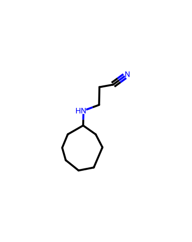 N#CCCNC1CCCCCCC1